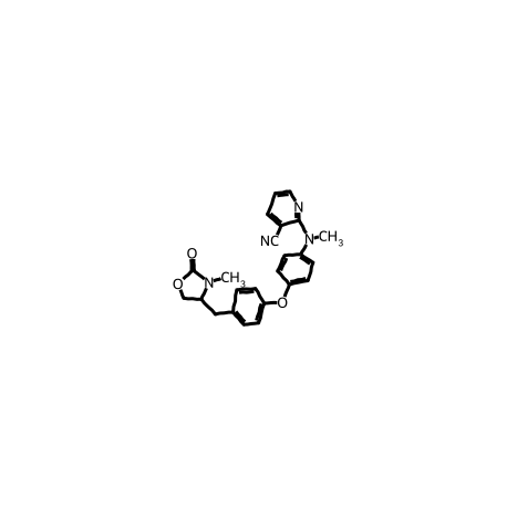 CN(c1ccc(Oc2ccc(CC3COC(=O)N3C)cc2)cc1)c1ncccc1C#N